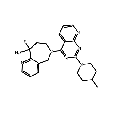 CC1CCN(c2nc(N3CCC(F)(P)c4ncccc4C3)c3cccnc3n2)CC1